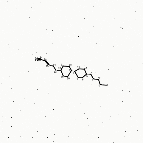 CCCCC[C@H]1CC[C@H](C2CCC(CC/C=C/C#N)CC2)CC1